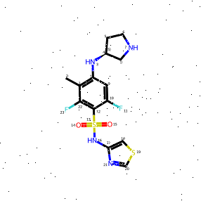 Cc1c(N[C@H]2CCNC2)cc(F)c(S(=O)(=O)Nc2cscn2)c1F